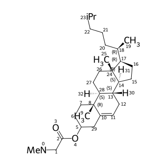 CNCC(=O)OC1CC[C@@]2(C)C(=CC[C@H]3[C@@H]4CC[C@H]([C@H](C)CCCC(C)C)[C@@]4(C)CC[C@@H]32)C1